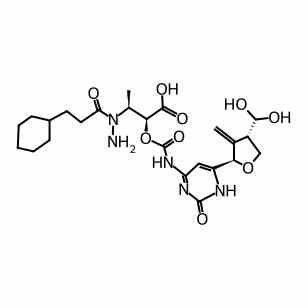 C=C1[C@H](c2cc(NC(=O)O[C@H](C(=O)O)[C@H](C)N(N)C(=O)CCC3CCCCC3)nc(=O)[nH]2)OC[C@H]1C(O)O